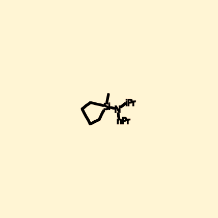 CCCN(C(C)C)[Si]1(C)CCCC1